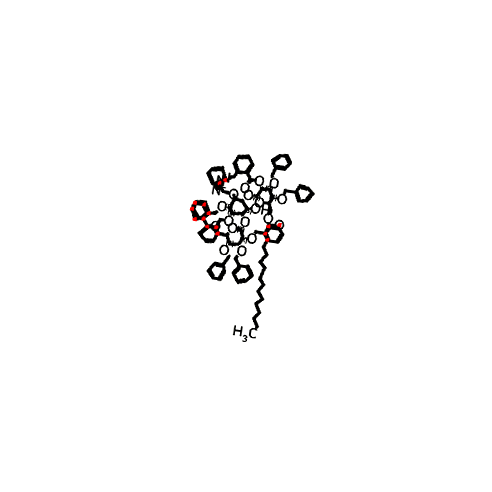 CCCCCCCCCCCCCCCC(=O)OCC1O[C@H](OC2C(OCc3ccccc3)[C@@H](OCc3ccccc3)[C@@H](OCc3ccccc3)C(O[C@H]3OC(COCc4ccccc4)[C@@H](OCc4ccccc4)C(OCc4ccccc4)[C@H]3OCc3ccccc3)[C@@H]2O)C(OC(=O)c2ccccc2CN=[N+]=[N-])[C@H](OCc2ccccc2)[C@@H]1OCc1ccccc1